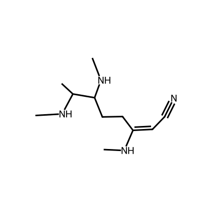 CN/C(=C/C#N)CCC(NC)C(C)NC